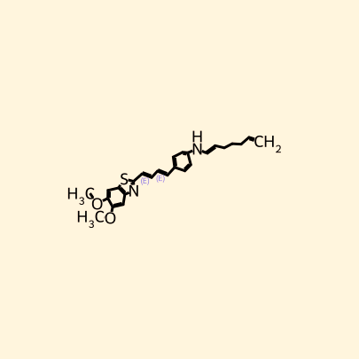 C=CCCCC=CNc1ccc(/C=C/C=C/c2nc3cc(OC)c(OC)cc3s2)cc1